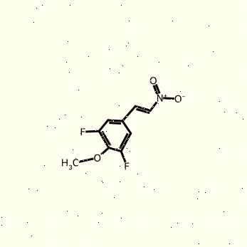 COc1c(F)cc(C=C[N+](=O)[O-])cc1F